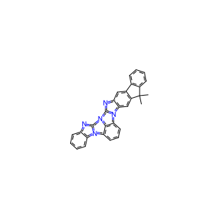 CC1(C)c2ccccc2-c2cc3nc4n(c3cc21)c1cccc2c1n4c1nc3ccccc3n21